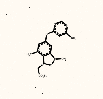 CCOC(=O)CC1OB(O)c2cc(Oc3cc(N)ncn3)cc(C)c21